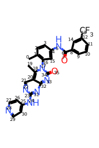 Cc1ccc(NC(=O)c2cccc(C(F)(F)F)c2)cc1-n1c(C)c2cnc(Nc3ccncc3)nc2nc1=O